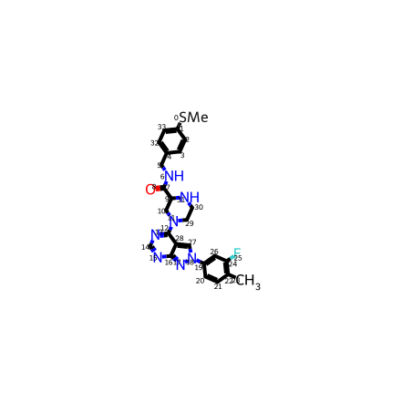 CSc1ccc(CNC(=O)C2CN(c3ncnc4nn(-c5ccc(C)c(F)c5)cc34)CCN2)cc1